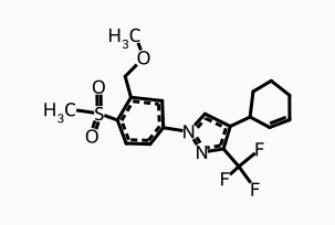 COCc1cc(-n2cc(C3C=CCCC3)c(C(F)(F)F)n2)ccc1S(C)(=O)=O